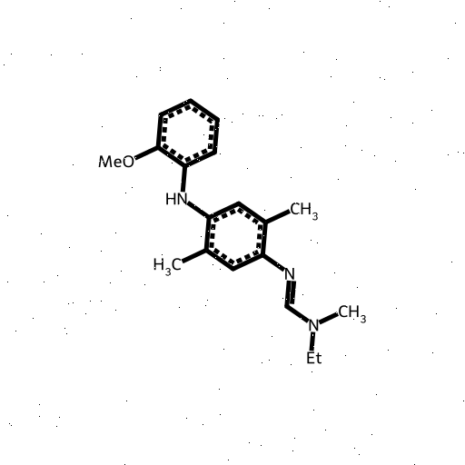 CCN(C)C=Nc1cc(C)c(Nc2ccccc2OC)cc1C